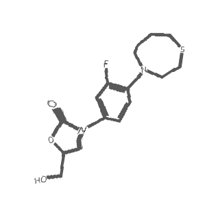 O=C1OC(CO)CN1c1ccc(N2CCCSCC2)c(F)c1